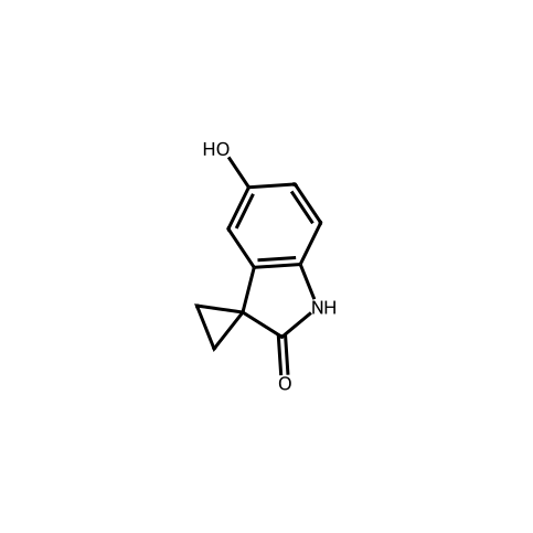 O=C1Nc2ccc(O)cc2C12CC2